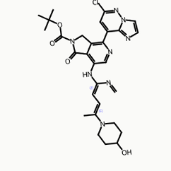 C=N/C(=C\C=C(/C)N1CCC(O)CC1)Nc1cnc(-c2cc(Cl)nn3ccnc23)c2c1C(=O)N(C(=O)OC(C)(C)C)C2